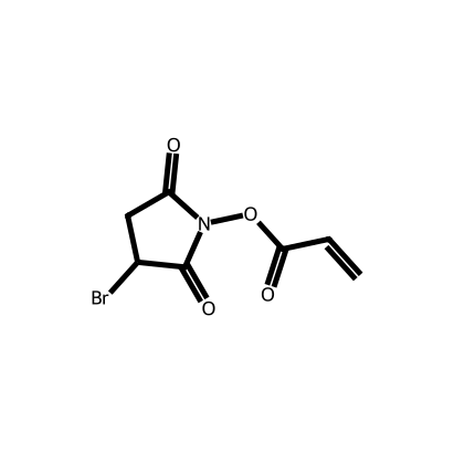 C=CC(=O)ON1C(=O)CC(Br)C1=O